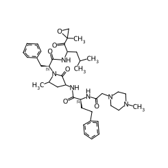 CC(C)CC(NC(=O)[C@H](Cc1ccccc1)N1C(=O)C(NC(=O)[C@H](CCc2ccccc2)NC(=O)CN2CCN(C)CC2)CC1C)C(=O)C1(C)CO1